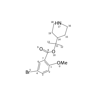 COc1ccc(Br)cc1C(=O)OC(C)(C)C1CCNCC1